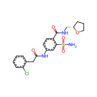 NS(=O)(=O)c1cc(NC(=O)Cc2ccccc2Cl)ccc1C(=O)NC[C@@H]1CCCO1